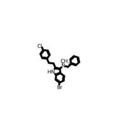 CN(Cc1ccccc1)c1c(CCc2ccc(Cl)cc2)[nH]c2cc(Br)ccc12